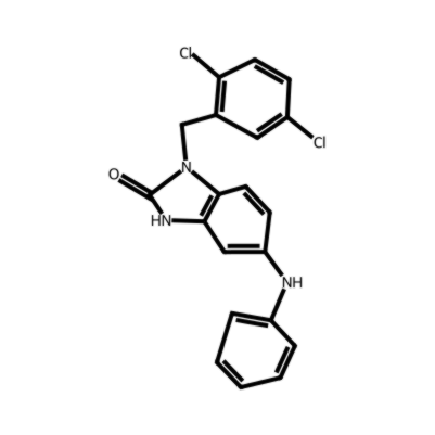 O=c1[nH]c2cc(Nc3ccccc3)ccc2n1Cc1cc(Cl)ccc1Cl